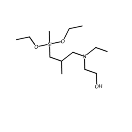 CCO[Si](C)(CC(C)CN(CC)CCO)OCC